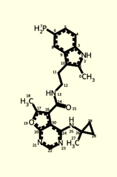 Cc1[nH]c2ccc(P)cc2c1CCNC(=O)c1c(C)oc2ncnc(NC3(C)CC3)c12